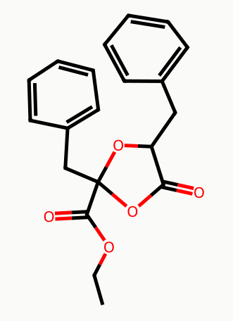 CCOC(=O)C1(Cc2ccccc2)OC(=O)C(Cc2ccccc2)O1